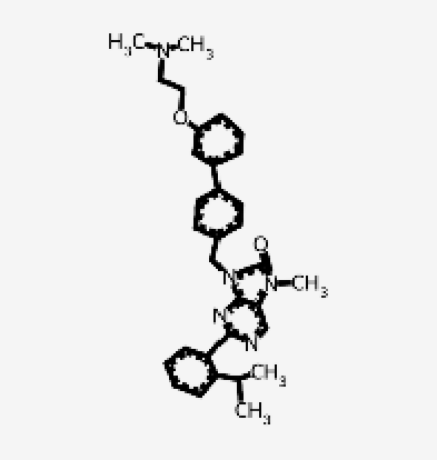 CC(C)c1ccccc1-c1ncc2c(n1)n(Cc1ccc(-c3cccc(OCCN(C)C)c3)cc1)c(=O)n2C